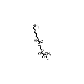 C=C(C)C(=O)OCCOC(=O)NCCCCCCN